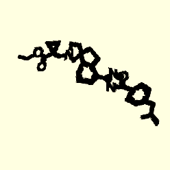 CCOC(=O)C1(CN2CCC3(CCc4c(-c5noc(-c6ccc(CC(C)C)cc6)n5)cccc43)C2)CC1